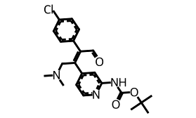 CN(C)CC(=C(C=O)c1ccc(Cl)cc1)c1ccnc(NC(=O)OC(C)(C)C)c1